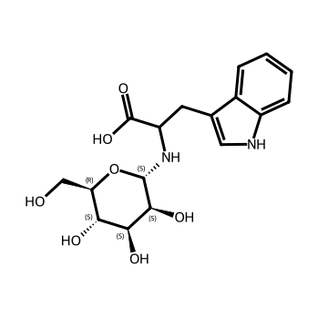 O=C(O)C(Cc1c[nH]c2ccccc12)N[C@H]1O[C@H](CO)[C@@H](O)[C@H](O)[C@@H]1O